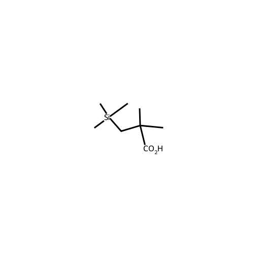 CC(C)(C[Si](C)(C)C)C(=O)O